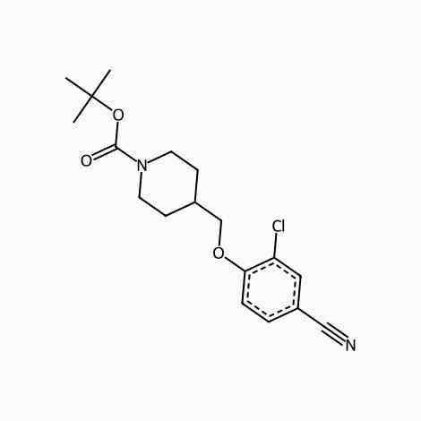 CC(C)(C)OC(=O)N1CCC(COc2ccc(C#N)cc2Cl)CC1